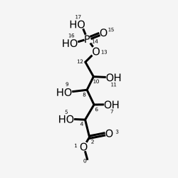 COC(=O)C(O)C(O)C(O)C(O)COP(=O)(O)O